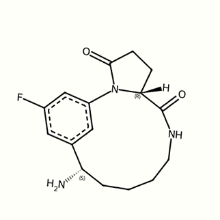 N[C@H]1CCCCNC(=O)[C@H]2CCC(=O)N2c2cc(F)cc1c2